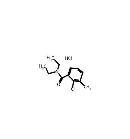 CCN(CC)C(=O)c1cccc(C)c1Cl.Cl